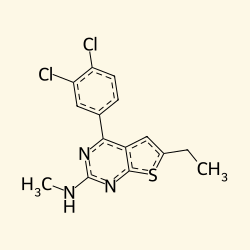 CCc1cc2c(-c3ccc(Cl)c(Cl)c3)nc(NC)nc2s1